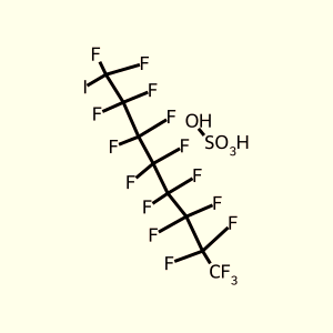 FC(F)(F)C(F)(F)C(F)(F)C(F)(F)C(F)(F)C(F)(F)C(F)(F)C(F)(F)I.O=S(=O)(O)O